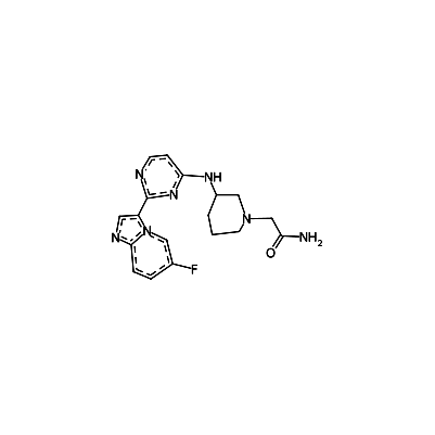 NC(=O)CN1CCCC(Nc2ccnc(-c3cnc4ccc(F)cn34)n2)C1